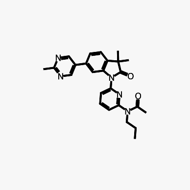 CCCN(C(C)=O)c1cccc(N2C(=O)C(C)(C)c3ccc(-c4cnc(C)nc4)cc32)n1